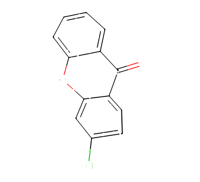 O=c1c2ccccc2oc2cc(Cl)ccc12